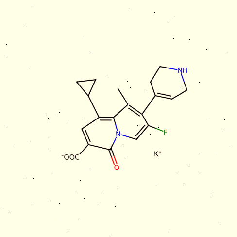 Cc1c(C2=CCNCC2)c(F)cn2c(=O)c(C(=O)[O-])cc(C3CC3)c12.[K+]